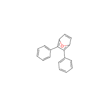 c1ccc(-c2c(-c3ccccc3)c3ccc2o3)cc1